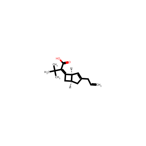 C=CCC1=C[C@@H]2C(=C(C(=O)O)C(C)(C)C)C[C@@H]2C1